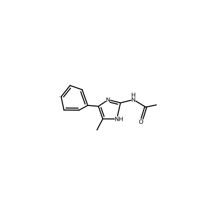 CC(=O)Nc1nc(-c2cc[c]cc2)c(C)[nH]1